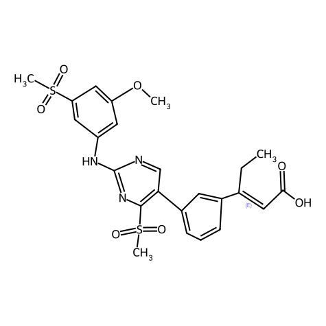 CC/C(=C\C(=O)O)c1cccc(-c2cnc(Nc3cc(OC)cc(S(C)(=O)=O)c3)nc2S(C)(=O)=O)c1